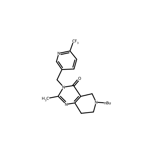 CCCCN1CCc2nc(C)n(Cc3ccc(C(F)(F)F)nc3)c(=O)c2C1